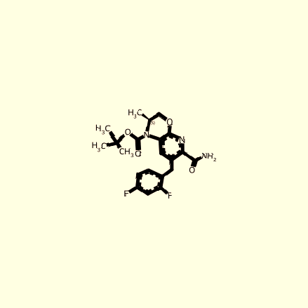 C[C@H]1COc2nc(C(N)=O)c(Cc3ccc(F)cc3F)cc2N1C(=O)OC(C)(C)C